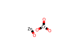 [O]=[Cr](=[O])=[O].[O]=[Zn]